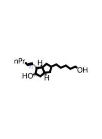 CCC/C=C/[C@@H]1[C@H]2CC(CCCCCO)C[C@H]2C[C@H]1O